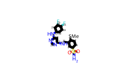 CSc1ccc(S(N)(=O)=O)cc1CNc1cc(Nc2ccc(F)c(F)c2)ncn1